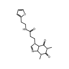 CN1C(=O)C2C(N=CN2CCC(=O)NCCc2ccco2)N(C)C1=O